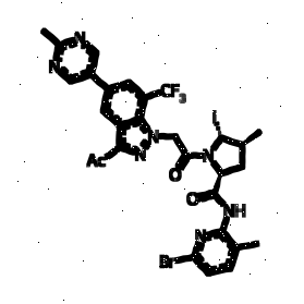 CC(=O)c1nn(CC(=O)N2[C@H](I)[C@@H](C)C[C@H]2C(=O)Nc2nc(Br)ccc2C)c2c(C(F)(F)F)cc(-c3cnc(C)nc3)cc12